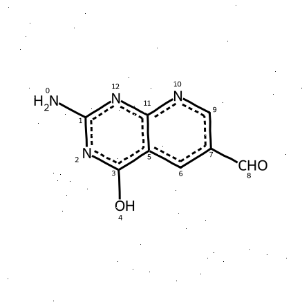 Nc1nc(O)c2cc(C=O)cnc2n1